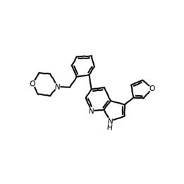 c1ccc(-c2cnc3[nH]cc(-c4ccoc4)c3c2)c(CN2CCOCC2)c1